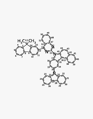 CC1(C)c2ccccc2-c2ccc(-c3nc(-n4c5ccc(-n6c7ccccc7c7ccccc76)cc5c5c6ccccc6ccc54)nc4ccccc34)cc21